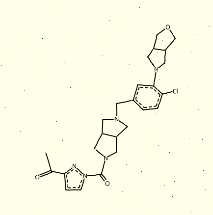 CC(=O)c1ccn(C(=O)N2CC3CN(Cc4ccc(Cl)c(N5CC6COCC6C5)c4)CC3C2)n1